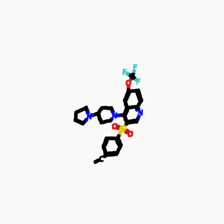 CCc1ccc(S(=O)(=O)c2cnc3ccc(OC(F)(F)F)cc3c2N2CCC(N3CCCC3)CC2)cc1